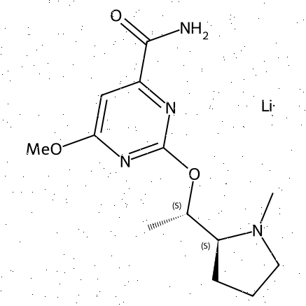 COc1cc(C(N)=O)nc(O[C@@H](C)[C@@H]2CCCN2C)n1.[Li]